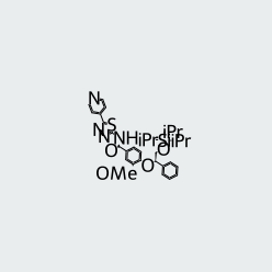 COc1cc(C(=O)Nc2nnc(-c3ccncc3)s2)ccc1O[C@@H](CO[Si](C(C)C)(C(C)C)C(C)C)c1ccccc1